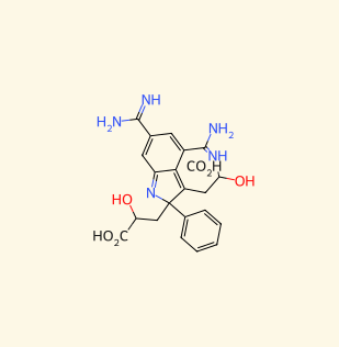 N=C(N)c1cc(C(=N)N)c2c(c1)=NC(CC(O)C(=O)O)(c1ccccc1)C=2CC(O)C(=O)O